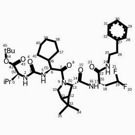 CC(C)[C@H](NC(=O)N[C@H](C(=O)N1CC2C([C@H]1C(=O)N[C@@H](CC(F)F)C(=O)NCCc1ccccc1)C2(C)C)C1CCCCC1)C(=O)OC(C)(C)C